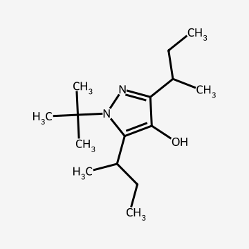 CCC(C)c1nn(C(C)(C)C)c(C(C)CC)c1O